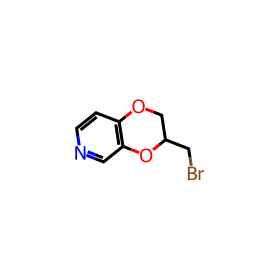 BrCC1COc2ccncc2O1